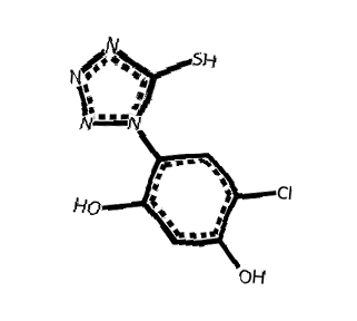 Oc1cc(O)c(-n2nnnc2S)cc1Cl